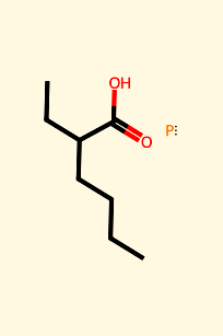 CCCCC(CC)C(=O)O.[P]